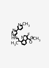 COC(=O)c1c(F)cnc2c([C@H](C)CNc3cc(-c4ccc(C)nc4)ncn3)cccc12